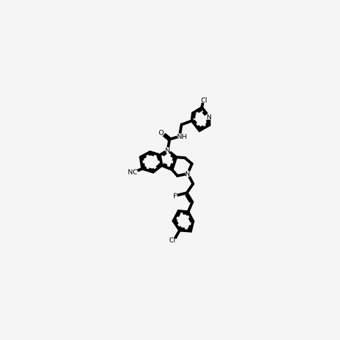 N#Cc1ccc2c(c1)c1c(n2C(=O)NCc2ccnc(Cl)c2)CCN(CC(F)=Cc2ccc(Cl)cc2)C1